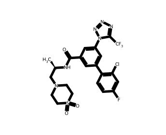 C[C@H](CN1CCS(=O)(=O)CC1)NC(=O)c1cc(-c2ccc(F)cc2Cl)cc(-n2nnnc2C(F)(F)F)c1